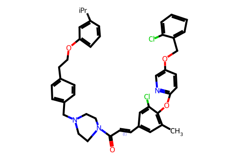 Cc1cc(/C=C/C(=O)N2CCN(Cc3ccc(CCOc4cccc(C(C)C)c4)cc3)CC2)cc(Cl)c1Oc1ccc(OCc2ccccc2Cl)cn1